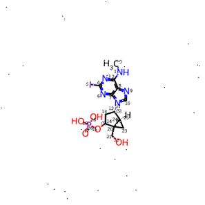 CNc1nc(I)nc2c1ncn2[C@H]1C[C@H](OP(=O)(O)O)C2(CO)C[C@H]12